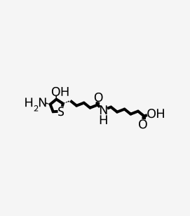 N[C@H]1CS[C@@H](CCCCC(=O)NCCCCCC(=O)O)[C@H]1O